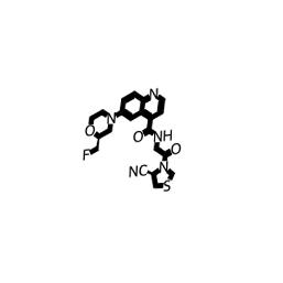 N#C[C@@H]1CSCN1C(=O)CNC(=O)c1ccnc2ccc(N3CCO[C@H](CF)C3)cc12